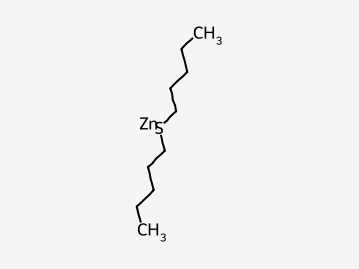 CCCCCSCCCCC.[Zn]